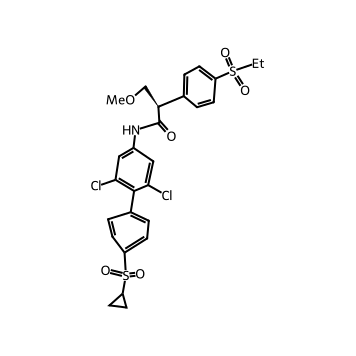 CCS(=O)(=O)c1ccc([C@H](COC)C(=O)Nc2cc(Cl)c(-c3ccc(S(=O)(=O)C4CC4)cc3)c(Cl)c2)cc1